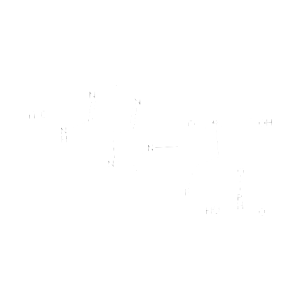 CNc1ncnc2c1ncn2C1O[C@H](CO)C(O[PH](=O)O)C1F